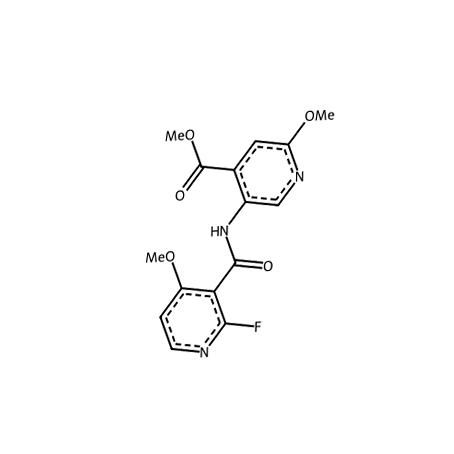 COC(=O)c1cc(OC)ncc1NC(=O)c1c(OC)ccnc1F